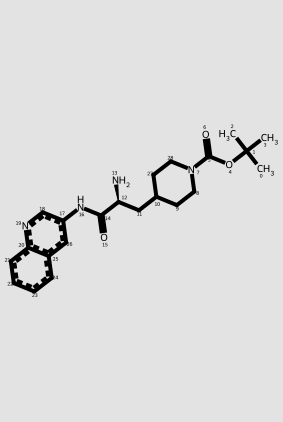 CC(C)(C)OC(=O)N1CCC(C[C@H](N)C(=O)Nc2cnc3ccccc3c2)CC1